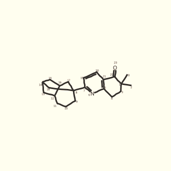 CC1(C)CCc2nc(C34CCCC5CC(CC5C3)C4)ccc2C1=O